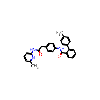 Cc1cccc(NC(=O)Cc2ccc(NC(=O)c3ccccc3-c3ccc(C(F)(F)F)cc3)cc2)n1